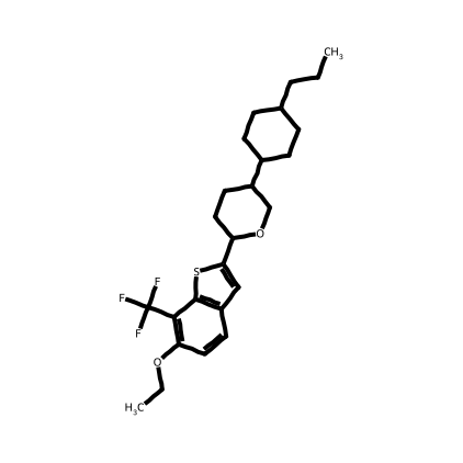 CCCC1CCC(C2CCC(c3cc4ccc(OCC)c(C(F)(F)F)c4s3)OC2)CC1